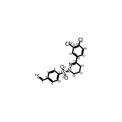 O=S(=O)(c1ccc(C=S)cc1)N1CCCC(c2ccc(Cl)c(Cl)c2)=N1